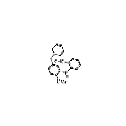 COc1ccc(CC2C=CC=CC2)cc1Pc1ccccc1C=O